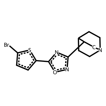 Brc1ccc(-c2nc(C3CN4CCC3CC4)no2)s1